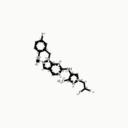 [C-]#[N+]c1ccc(F)cc1Cn1ncc2cnc(Nc3cn(CC(F)F)nc3C)nc21